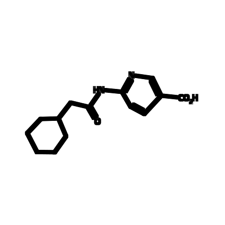 O=C(CC1CCCCC1)Nc1ccc(C(=O)O)cn1